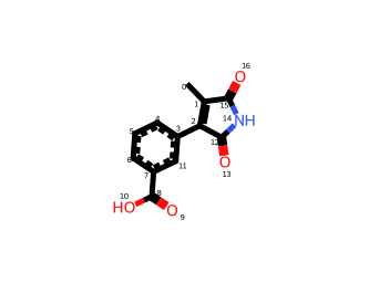 CC1=C(c2cccc(C(=O)O)c2)C(=O)NC1=O